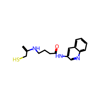 C=C(CS)NCCCC(=O)Nc1cnc2ccccc2c1